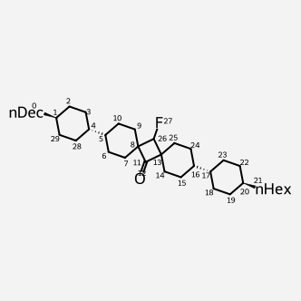 CCCCCCCCCC[C@H]1CC[C@H](C2CCC3(CC2)C(=O)C2(CCC([C@H]4CC[C@H](CCCCCC)CC4)CC2)C3F)CC1